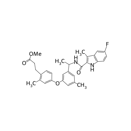 COC(=O)CCc1ccc(Oc2cc(C)cc(C(C)NC(=O)c3[nH]c4ccc(F)cc4c3C)c2)cc1C